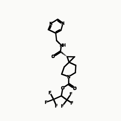 O=C(NCc1cncnc1)[C@@H]1CC12CCN(C(=O)OC(C(F)(F)F)C(F)(F)F)CC2